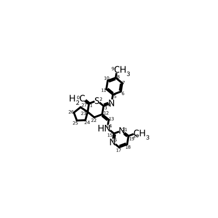 C=C1SC(=N\c2ccc(C)cc2)/C(=C/Nc2nccc(C)n2)CC12CCCC2